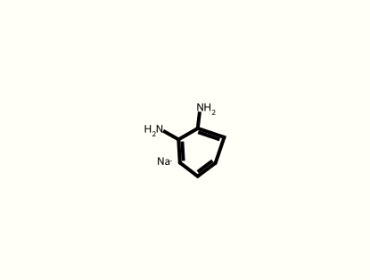 Nc1ccccc1N.[Na]